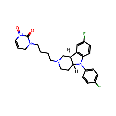 O=C1N(CCCCN2CC[C@@H]3[C@@H](C2)c2cc(F)ccc2N3c2ccc(F)cc2)CC=C[N+]1=O